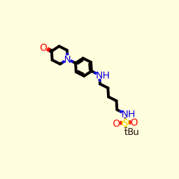 CC(C)(C)S(=O)(=O)NCCCCCNc1ccc(N2CCC(=O)CC2)cc1